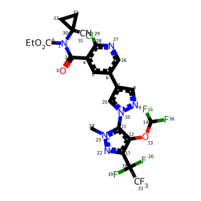 CCOC(=O)N(C(=O)c1cc(-c2cnn(-c3c(OC(F)F)c(C(F)(F)C(F)(F)F)nn3C)c2)cnc1Cl)C1(C#N)CC1